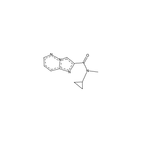 CN(C(=O)c1cn2ncccc2n1)C1CC1